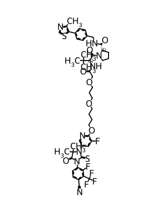 Cc1ncsc1-c1ccc(CNC(=O)[C@@H]2CCCN2C(=O)[C@@H](NC(=O)COCCCOCCCCOc2ncc(N3C(=S)N(c4ccc(C#N)c(C(F)(F)F)c4F)C(=O)C3(C)C)cc2F)C(C)(C)C)cc1